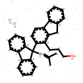 C[C](C)=[Zr+2][C]1(c2ccc3c(c2CCCO)Cc2ccccc2-3)c2ccccc2-c2ccccc21.[Cl-].[Cl-]